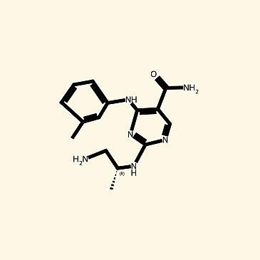 Cc1cccc(Nc2nc(N[C@H](C)CN)ncc2C(N)=O)c1